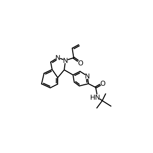 C=CC(=O)N1N=Cc2ccccc2C1c1ccc(C(=O)NC(C)(C)C)nc1